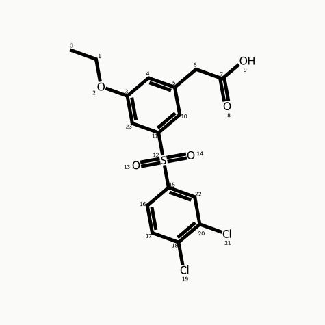 CCOc1cc(CC(=O)O)cc(S(=O)(=O)c2ccc(Cl)c(Cl)c2)c1